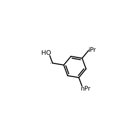 CCCc1cc([CH]O)cc(C(C)C)c1